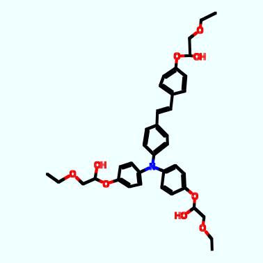 CCOCC(O)Oc1ccc(C=Cc2ccc(N(c3ccc(OC(O)COCC)cc3)c3ccc(OC(O)COCC)cc3)cc2)cc1